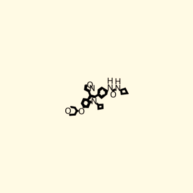 O=C(Nc1ccc(-c2c(-c3ccon3)c3ccc(OC4CCOCC4)cc3n2C2CCC2)cc1)NC1CCC1